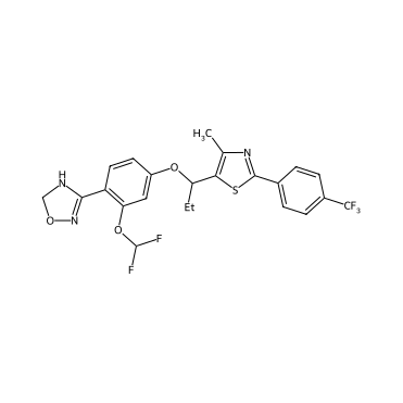 CCC(Oc1ccc(C2=NOCN2)c(OC(F)F)c1)c1sc(-c2ccc(C(F)(F)F)cc2)nc1C